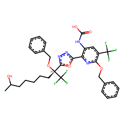 CC(O)CCCCC[C@@](OCc1ccccc1)(c1nnc(-c2nc(OCc3ccccc3)c(C(F)(F)F)cc2NC(=O)O)o1)C(F)(F)F